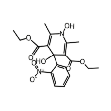 CCOC(=O)C1=C(C)N(O)C(C)=C(C(=O)OCC)C1(O)c1ccccc1[N+](=O)[O-]